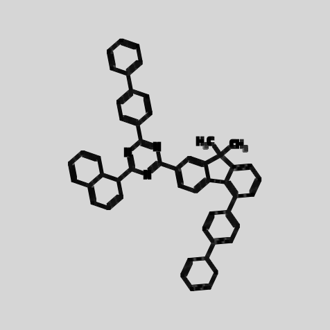 CC1(C)c2cc(-c3nc(-c4ccc(-c5ccccc5)cc4)nc(C4C=CC=C5C=CC=CC54)n3)ccc2-c2c(-c3ccc(C4C=CC=CC4)cc3)cccc21